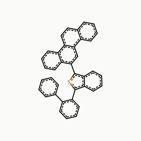 c1ccc(-c2ccccc2-c2sc(-c3cc4c5ccccc5ccc4c4ccccc34)c3ccccc23)cc1